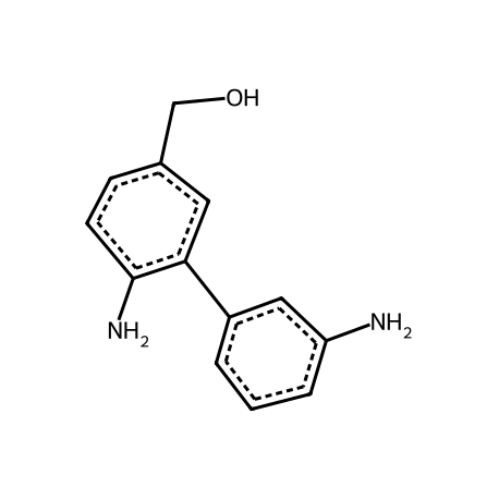 Nc1cccc(-c2cc(CO)ccc2N)c1